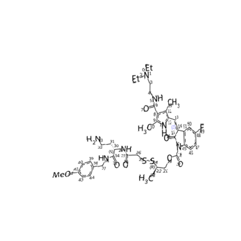 CCN(CC)CCNC(=O)c1c(C)[nH]c(/C=C2\C(=O)N(C(=O)OC[C@@H](C)SSCC(=O)N[C@@H](CCN)C(=O)NCc3ccc(OC)cc3)c3ccc(F)cc32)c1C